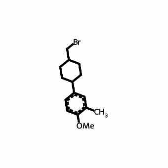 COc1ccc(C2CCC(CBr)CC2)cc1C